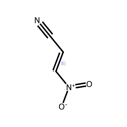 N#C/C=[C]/[N+](=O)[O-]